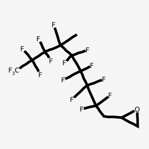 CC(F)(C(F)(F)C(F)(F)C(F)(F)F)C(F)(F)C(F)(F)C(F)(F)C(F)(F)CC1CO1